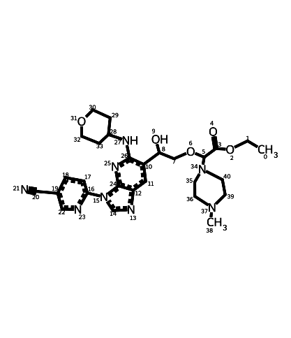 CCOC(=O)C(OCC(O)c1cc2ncn(-c3ccc(C#N)cn3)c2nc1NC1CCOCC1)N1CCN(C)CC1